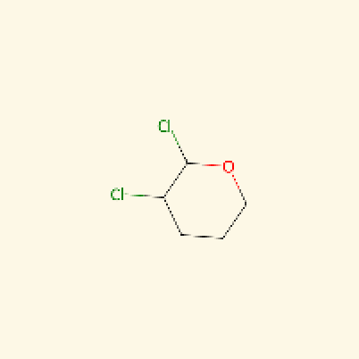 Cl[C]1OCCCC1Cl